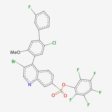 COc1cc(-c2cccc(F)c2)c(Cl)cc1-c1c(Br)cnc2cc(S(=O)(=O)Oc3c(F)c(F)c(F)c(F)c3F)ccc12